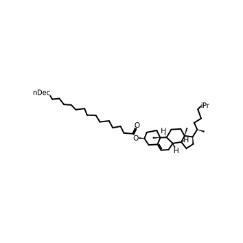 CCCCCCCCCCCCCCCCCCCCCCCC(=O)O[C@H]1CC[C@@]2(C)C(=CC[C@H]3[C@@H]4CC[C@H]([C@H](C)CCCC(C)C)[C@@]4(C)CC[C@@H]32)C1